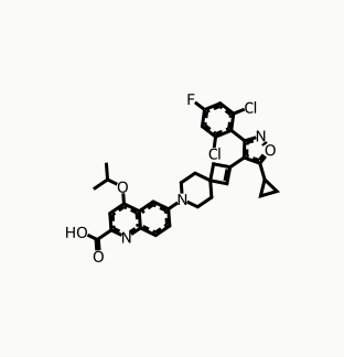 CC(C)Oc1cc(C(=O)O)nc2ccc(N3CCC4(C=C(c5c(-c6c(Cl)cc(F)cc6Cl)noc5C5CC5)C4)CC3)cc12